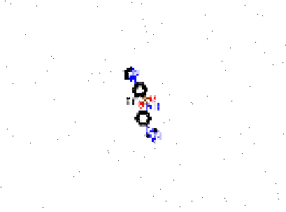 CCc1cc(-n2cccn2)ccc1S(=O)(=O)N[C@H]1CCC[C@@H](n2cnnc2)C1